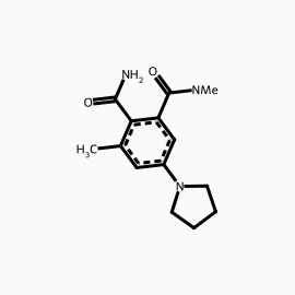 CNC(=O)c1cc(N2CCCC2)cc(C)c1C(N)=O